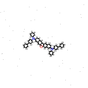 C1=c2ccc(N(c3ccccc3)c3ccc(-c4ccccc4)cc3)cc2=CC2Oc3cc4cc(N(c5ccccc5)c5ccc(-c6ccccc6)cc5)ccc4cc3C12